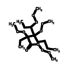 CCCCC(OOC)(C(CC)OOC)C(CC)(OOC)C(=O)OOOC